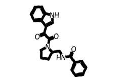 O=C(NCC1CCCN1C(=O)C(=O)c1c[nH]c2ccccc12)c1ccccc1